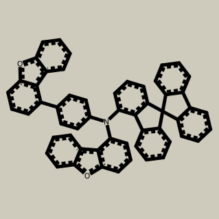 c1ccc2c(c1)-c1ccccc1C21c2ccccc2-c2c(N(c3ccc(-c4cccc5oc6ccccc6c45)cc3)c3cccc4oc5ccccc5c34)cccc21